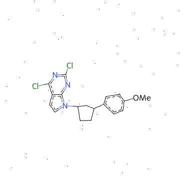 COc1ccc(C2CCC(n3ccc4c(Cl)nc(Cl)nc43)C2)cc1